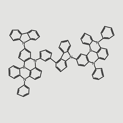 c1ccc(N2c3ccccc3B3c4cc(-n5c6ccccc6c6c(-c7cccc(N8c9cc(-n%10c%11ccccc%11c%11ccccc%11%10)ccc9B9c%10ccccc%10N(c%10ccccc%10)c%10cccc8c%109)c7)cccc65)ccc4N(c4ccccc4)c4cccc2c43)cc1